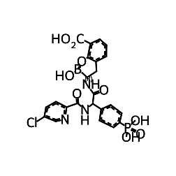 O=C(NC(C(=O)N[C@H]1Cc2cccc(C(=O)O)c2OB1O)c1ccc(P(=O)(O)O)cc1)c1ccc(Cl)cn1